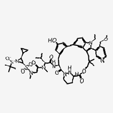 CCn1c(-c2cnccc2COC)c2c3cc(ccc31)-c1cc(O)cc(c1)C[C@H](NC(=O)[C@H](C(C)C)N(C)C(=O)CN(C)S(=O)(=O)[C@@H]1[C@H](C3CC3)N1[S@@+]([O-])C(C)(C)C)C(=O)N1CCC[C@H](N1)C(=O)OCC(C)(C)C2